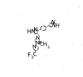 C[C@@H]1CN(Cc2c[nH]nc2-c2ccc(-c3cn[nH]c3)cc2)CCN1c1ccc(C(F)(F)F)cn1